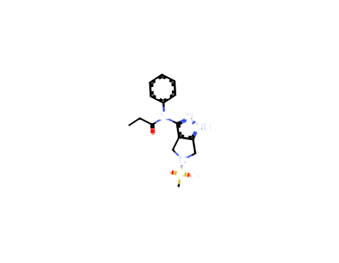 CCC(=O)N(c1ccccc1)c1n[nH]c2c1CN(S(C)(=O)=O)C2